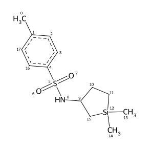 Cc1ccc(S(=O)(=O)NC2CC[Si](C)(C)C2)cc1